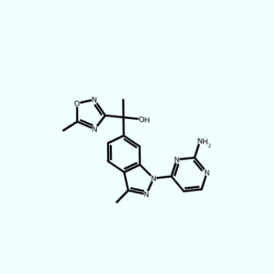 Cc1nc(C(C)(O)c2ccc3c(C)nn(-c4ccnc(N)n4)c3c2)no1